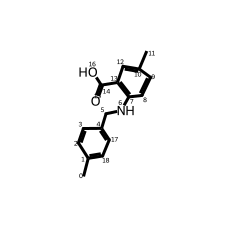 Cc1ccc(CNc2ccc(C)cc2C(=O)O)cc1